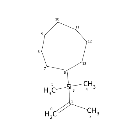 C=C(C)[Si](C)(C)C1CCCCCCC1